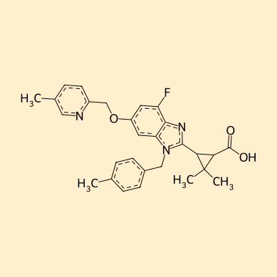 Cc1ccc(Cn2c(C3C(C(=O)O)C3(C)C)nc3c(F)cc(OCc4ccc(C)cn4)cc32)cc1